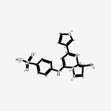 CS(=O)(=O)c1ccc(Nc2cc(-c3ccoc3)nc3c(Br)cnn23)cc1